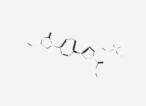 CC(=O)NC[C@H]1CN(c2ccc(C3=C[C@H](CO[Si](C)(C)C(C)(C)C)N(C(=O)OC(C)(C)C)C3)cc2)C(=O)O1